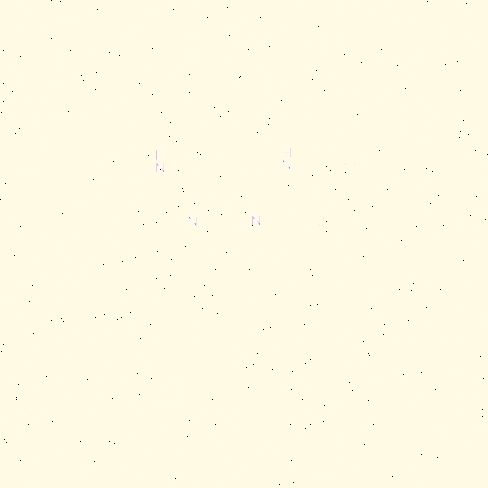 O=C(Nc1cc(NC2CCCCCCCCCC2)nc(C2CCCCCCCC2)n1)OCc1ccccc1